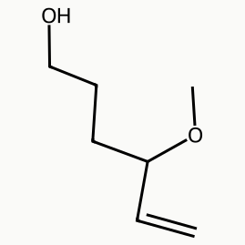 C=CC(CCCO)OC